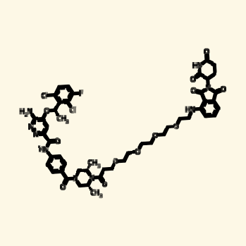 C[C@@H]1CN(C(=O)c2ccc(NC(=O)c3cc(O[C@H](C)c4c(Cl)ccc(F)c4Cl)c(N)nn3)cc2)C[C@H](C)N1C(=O)CCOCCOCCOCCOCCNc1cccc2c1C(=O)N(C1CCC(=O)NC1=O)C2=O